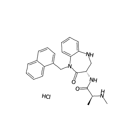 CN[C@@H](C)C(=O)N[C@H]1CNc2ccccc2N(Cc2cccc3ccccc23)C1=O.Cl